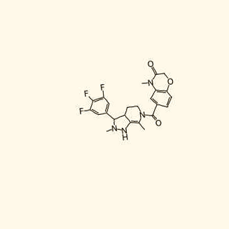 CC1=C2NN(C)C(c3cc(F)c(F)c(F)c3)C2CCN1C(=O)c1ccc2c(c1)N(C)C(=O)CO2